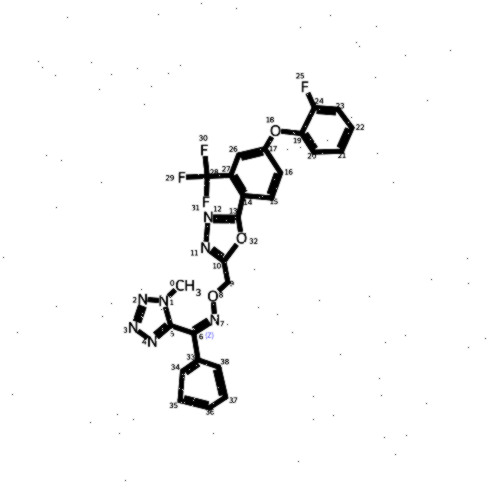 Cn1nnnc1/C(=N\OCc1nnc(-c2ccc(Oc3ccccc3F)cc2C(F)(F)F)o1)c1ccccc1